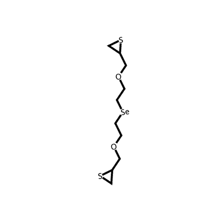 C(C[Se]CCOCC1CS1)OCC1CS1